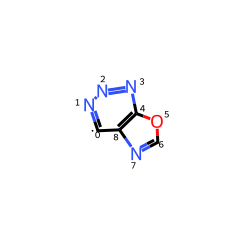 [c]1nnnc2ocnc12